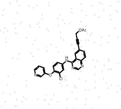 CC(=O)OCC#Cc1ccc2ncnc(Nc3ccc(Oc4cccnc4)c(Cl)c3)c2c1